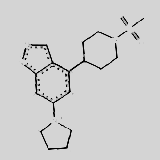 CS(=O)(=O)N1CCC(c2cc(N3CCCC3)cc3[nH]ncc23)CC1